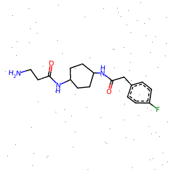 NCCC(=O)NC1CCC(NC(=O)Cc2ccc(F)cc2)CC1